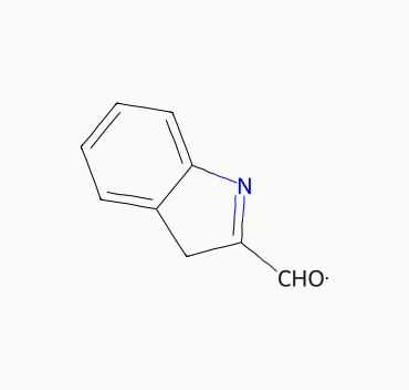 O=[C]C1=Nc2ccccc2C1